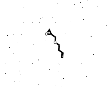 C=CCCOCC1CO1